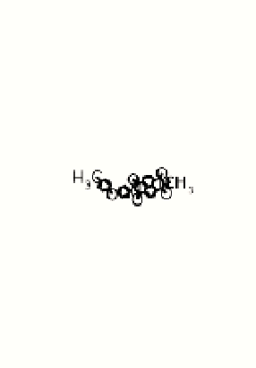 Cc1ccc(Oc2ccc(N3C(=O)c4ccc5c6c(ccc(c46)C3=O)C(=O)N(C)C5=O)cc2)cc1